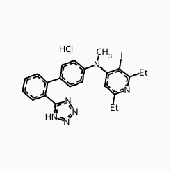 CCc1cc(N(C)c2ccc(-c3ccccc3-c3nnn[nH]3)cc2)c(I)c(CC)n1.Cl